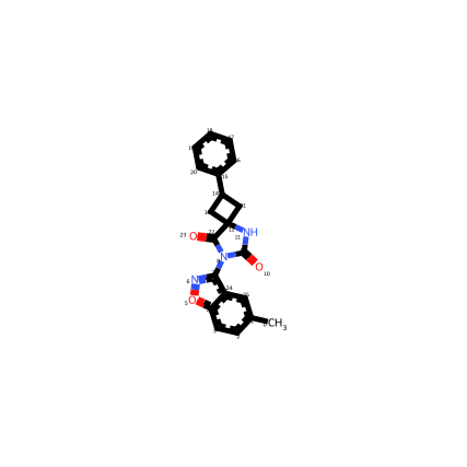 Cc1ccc2onc(N3C(=O)NC4(CC(c5ccccc5)C4)C3=O)c2c1